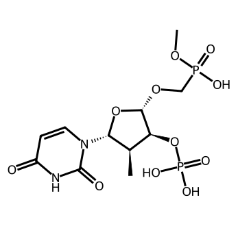 COP(=O)(O)CO[C@H]1O[C@@H](n2ccc(=O)[nH]c2=O)[C@H](C)[C@@H]1OP(=O)(O)O